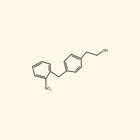 O=[N+]([O-])c1ccccc1Cc1ccc(CCO)cc1